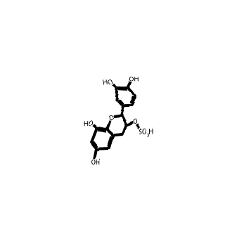 O=S(=O)(O)OC1Cc2cc(O)cc(O)c2OC1c1ccc(O)c(O)c1